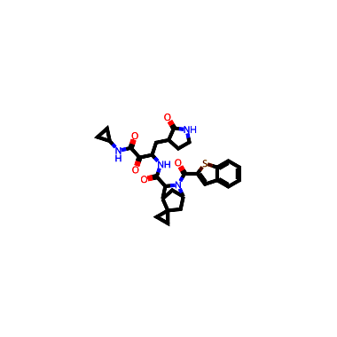 O=C(NC1CC1)C(=O)C(CC1CCNC1=O)NC(=O)C1C2CC(CC23CC3)N1C(=O)c1cc2ccccc2s1